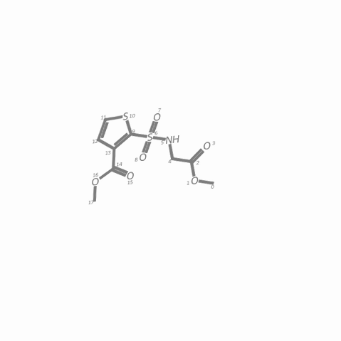 COC(=O)CNS(=O)(=O)c1sccc1C(=O)OC